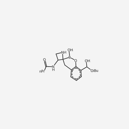 CCCC(=O)NC1CNC12Cc1cccc(C(O)OCC(C)C)c1OB2O